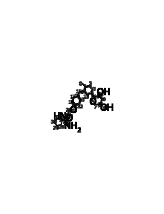 Cc1ccc([C@@H]2OC[C@@H](O)C[C@H]2O)cc1Cc1ccc(OCCNC2(C(N)=O)CCCC2)cc1